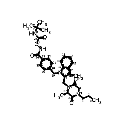 CCCN1CC(=O)N(Cc2c(C)c3ccccc3n2Cc2ccc(C(=O)NOC(=O)NC(C)(C)C)cc2)C(C)C1=O